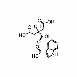 O=C(O)CC(O)(CC(=O)O)C(=O)O.O=C(O)c1c[nH]c2ccccc12